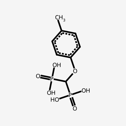 Cc1ccc(OC(P(=O)(O)O)P(=O)(O)O)cc1